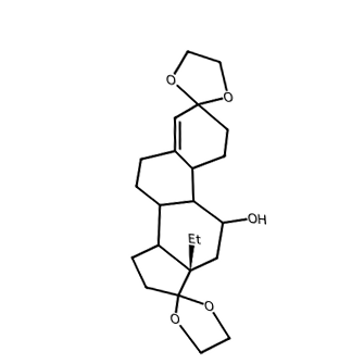 CC[C@]12CC(O)C3C4CCC5(C=C4CCC3C1CCC21OCCO1)OCCO5